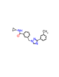 Cc1cccc(-c2ncn(Cc3cccc(C(=O)NC4CC4)c3)n2)c1